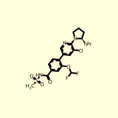 CCC[C@@H]1CCCN1c1ncc(-c2ccc(C(=O)NS(C)(=O)=O)cc2OC(F)F)cc1Cl